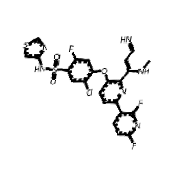 CN/C(=C\C=N)c1nc(-c2ccc(F)nc2F)ccc1Oc1cc(F)c(S(=O)(=O)Nc2cscn2)cc1Cl